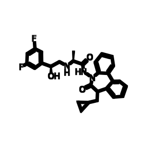 C[C@H](NC[C@@H](O)c1cc(F)cc(F)c1)C(=O)NN1C(=O)C(CC2CC2)c2ccccc2-c2ccccc21